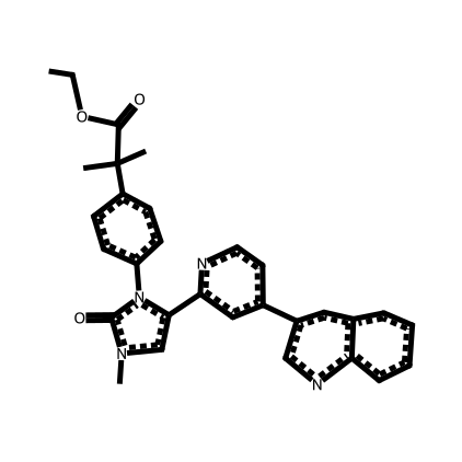 CCOC(=O)C(C)(C)c1ccc(-n2c(-c3cc(-c4cnc5ccccc5c4)ccn3)cn(C)c2=O)cc1